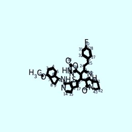 COc1cccc2c1CC[C@H]2Nc1nccc2cc(-c3c4c(nc(CCc5ccc(F)cc5)c3-c3n[nH]c(=O)o3)[C@@H]3CCCN3C4=O)sc12